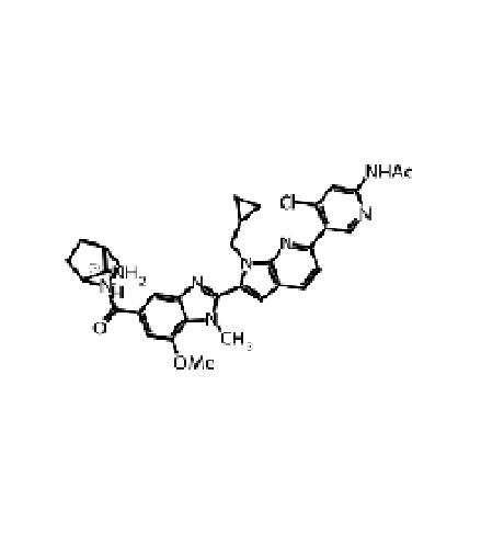 COc1cc(C(=O)N2CC3CCC2[C@@H]3N)cc2nc(-c3cc4ccc(-c5cnc(NC(C)=O)cc5Cl)nc4n3CC3CC3)n(C)c12